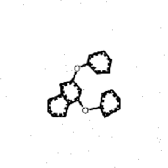 [c]1c(Oc2ccccc2)cc2ccccc2c1Oc1ccccc1